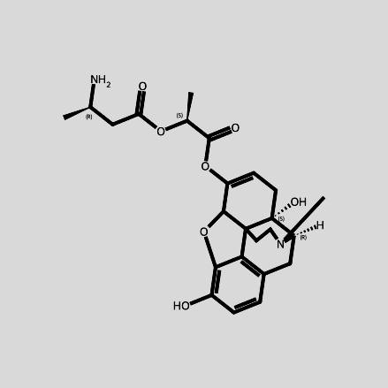 C[C@H](OC(=O)C[C@@H](C)N)C(=O)OC1=CC[C@@]2(O)[C@H]3Cc4ccc(O)c5c4C2(CCN3C)C1O5